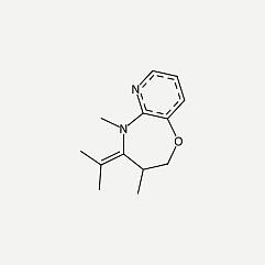 CC(C)=C1C(C)COc2cccnc2N1C